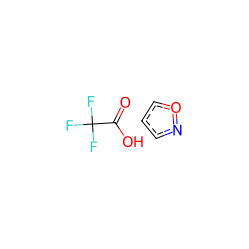 O=C(O)C(F)(F)F.c1cnoc1